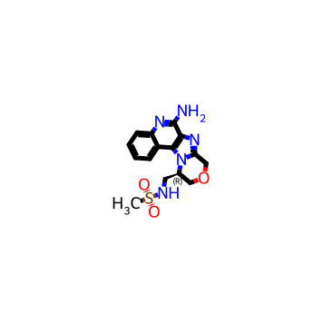 CS(=O)(=O)NC[C@@H]1COCc2nc3c(N)nc4ccccc4c3n21